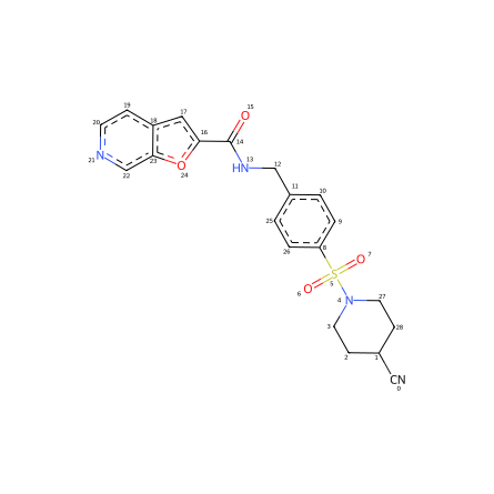 N#CC1CCN(S(=O)(=O)c2ccc(CNC(=O)c3cc4ccncc4o3)cc2)CC1